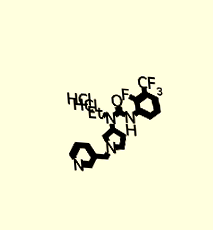 CCN(C(=O)Nc1cccc(C(F)(F)F)c1F)C1CCN(Cc2cccnc2)C1.Cl.Cl